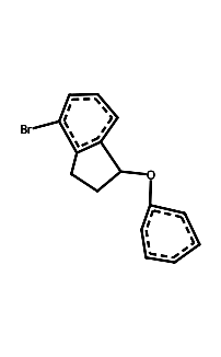 Brc1cccc2c1CCC2Oc1ccccc1